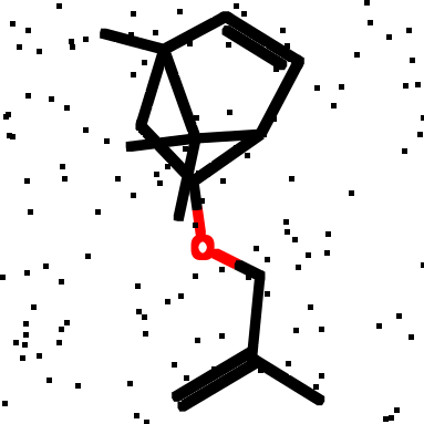 C=C(C)COC1CC2(C)C=CC1C2(C)C